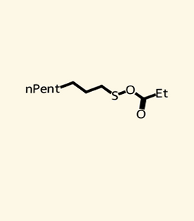 CCCCCCCCSOC(=O)CC